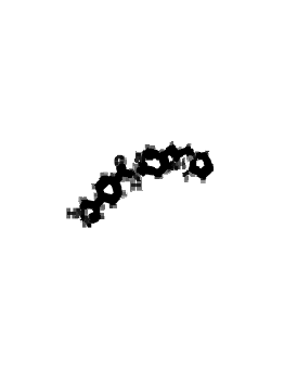 C[C@H]1CCCN1Cc1cc2cnc(NC(=O)c3ccc(-c4cn[nH]c4)cc3)cc2[nH]1